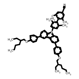 CCCCC(CC)COc1ccc(-c2ccc3c(c2)c2cc(-c4ccc(OCC(CC)CCCC)cc4)ccc2n3-c2cc(C)c(-c3c(C)cc(C#N)cc3C)c(C)c2)cc1